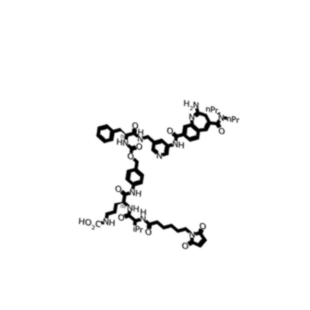 CCCN(CCC)C(=O)C1=Cc2ccc(C(=O)Nc3cncc(CNC(=O)[C@H](Cc4ccccc4)NC(=O)OCc4ccc(NC(=O)[C@H](CCCNC(=O)O)NC(=O)C(NC(=O)CCCCCN5C(=O)C=CC5=O)C(C)C)cc4)c3)cc2N=C(N)C1